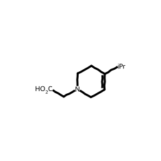 CC(C)C1=CCN(CC(=O)O)CC1